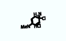 CNC1=CCC(N)(Cl)C=C1.Cl